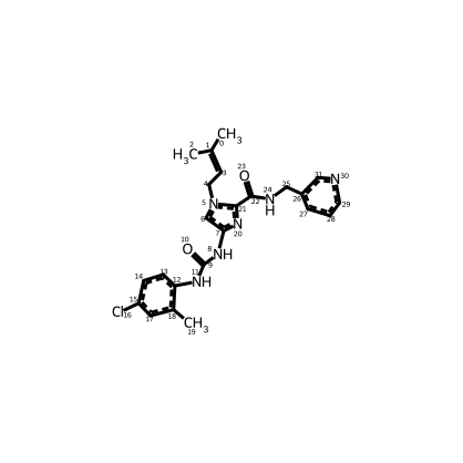 CC(C)=CCn1cc(NC(=O)Nc2ccc(Cl)cc2C)nc1C(=O)NCc1cccnc1